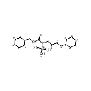 O=C(CC(C(=O)OCC1CCCCC1)S(=O)(=O)O)OCC1CCCCC1